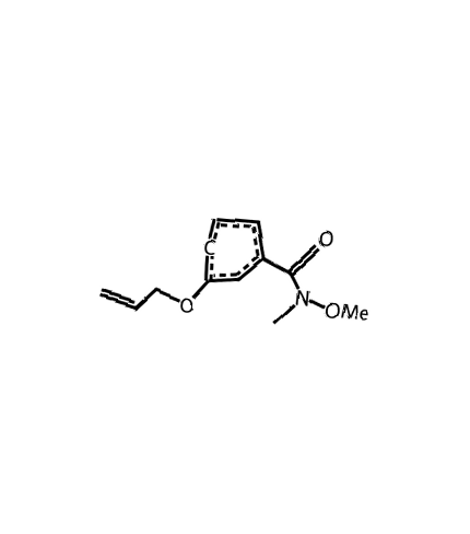 C=CCOc1cccc(C(=O)N(C)OC)c1